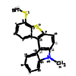 CCCSc1cccc2c1sc1ccc3c(c4ccccc4n3C)c12